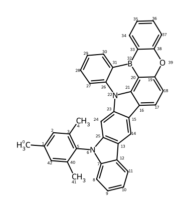 Cc1cc(C)c(-n2c3ccccc3c3cc4c5ccc6c7c5n(c4cc32)-c2ccccc2B7c2ccccc2O6)c(C)c1